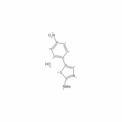 CNc1ncc(-c2ccc([N+](=O)[O-])cc2)s1.Cl